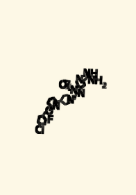 N=C(N)c1cc2nc(CN3CCC(c4cccc(OCc5ccc(Cl)cc5F)n4)CC3)n(C[C@@H]3CCO3)c2cn1